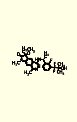 COC1(C)C(=O)N(C)c2cc3c(C)nnc(N[C@H](C)c4cccc(C(F)(F)C(C)(C)O)c4F)c3cc21